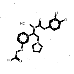 CN(C(=O)Cc1ccc(Cl)c(Cl)c1)C(CN1CCCC1)c1cccc(OCC(=O)O)c1.Cl